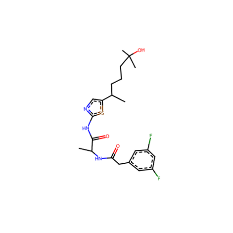 CC(NC(=O)Cc1cc(F)cc(F)c1)C(=O)Nc1ncc(C(C)CCCC(C)(C)O)s1